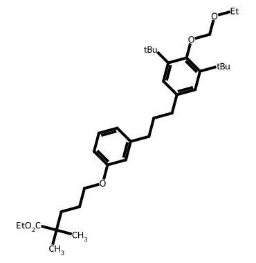 CCOCOc1c(C(C)(C)C)cc(CCCc2cccc(OCCCC(C)(C)C(=O)OCC)c2)cc1C(C)(C)C